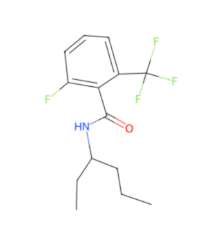 CCCC(CC)NC(=O)c1c(F)cccc1C(F)(F)F